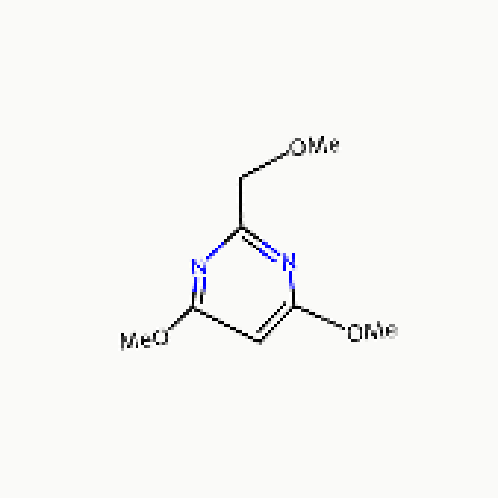 COCc1nc(OC)cc(OC)n1